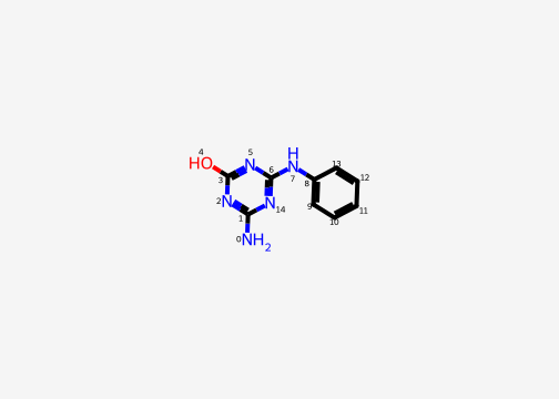 Nc1nc(O)nc(Nc2ccccc2)n1